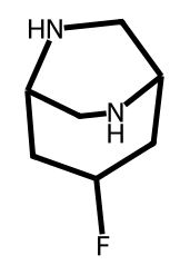 FC1CC2CNC(CN2)C1